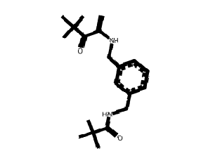 C=C(NCc1cccc(CNC(=O)C(C)(C)C)c1)C(=O)C(C)(C)C